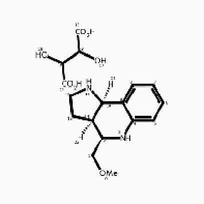 COC[C@@H]1Nc2ccccc2[C@@H]2NCC[C@H]12.O=C(O)C(O)C(O)C(=O)O